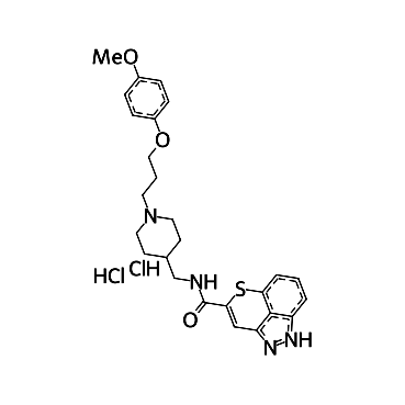 COc1ccc(OCCCN2CCC(CNC(=O)C3=Cc4n[nH]c5cccc(c45)S3)CC2)cc1.Cl.Cl